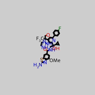 COc1cc(C(=O)NC[C@](O)(c2cc3c(c(-c4ccc(F)cc4)n2)OC[C@@]3(N(N)/C=C\N)C(F)(F)F)C2CC2)cc2sc(N)nc12